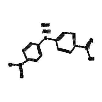 O=[N+]([O-])c1ccc(Sc2ccc([N+](=O)O)cc2)cc1.[NaH].[NaH]